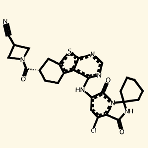 N#CC1CN(C(=O)[C@H]2CCc3c(sc4ncnc(Nc5cc(Cl)c6n(c5=O)C5(CCCCC5)NC6=O)c34)C2)C1